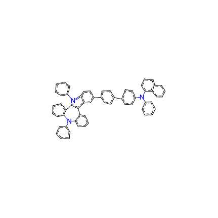 c1ccc(N2c3ccccc3-c3c(n(-c4ccccc4)c4ccc(-c5ccc(-c6ccc(N(c7ccccc7)c7cccc8ccccc78)cc6)cc5)cc34)-c3ccccc32)cc1